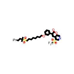 CC(C)CCC(C)(C)S(=O)(=O)CCCCCCCCOc1cccc(-c2cc3c(S(=O)(=O)C(F)(F)F)cncc3oc2=O)c1